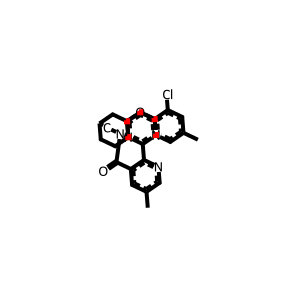 Cc1cnc(OC2CC3CCC2N(C(=O)c2cc(C)cnc2-c2ncccn2)C3)c(Cl)c1